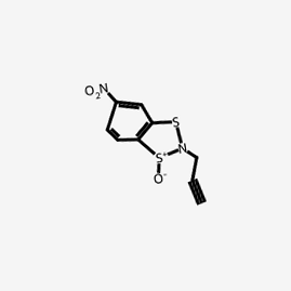 C#CCN1Sc2cc([N+](=O)[O-])ccc2[S+]1[O-]